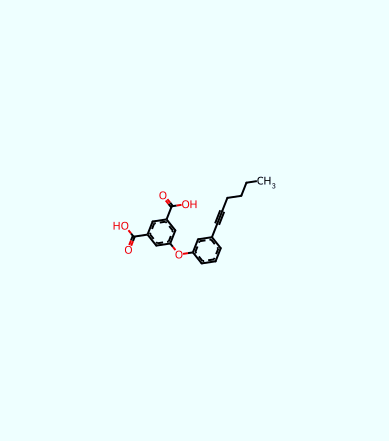 CCCCC#Cc1cccc(Oc2cc(C(=O)O)cc(C(=O)O)c2)c1